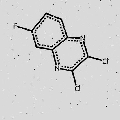 Fc1ccc2nc(Cl)c(Cl)nc2c1